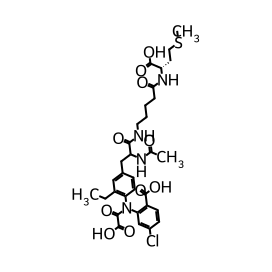 CCc1cc(CC(NC(C)=O)C(=O)NCCCCC(=O)N[C@@H](CCSC)C(=O)O)ccc1N(C(=O)C(=O)O)c1cc(Cl)ccc1C(=O)O